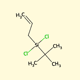 C=CC[Si](Cl)(Cl)C(C)(C)C